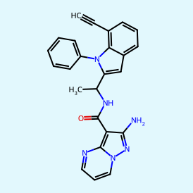 C#Cc1cccc2cc(C(C)NC(=O)c3c(N)nn4cccnc34)n(-c3ccccc3)c12